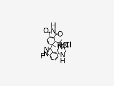 CC(C1C2=C(C=CC1(C)c1nn(F)c3ccccc13)C(=O)NC2=O)N1CCNCC1.Cl.Cl